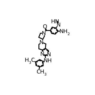 Cc1cc(C)cc(Nc2ncc3c(n2)CCN(C2CCN(C(=O)c4ccc(N)c(N=N)c4)C2)C3)c1